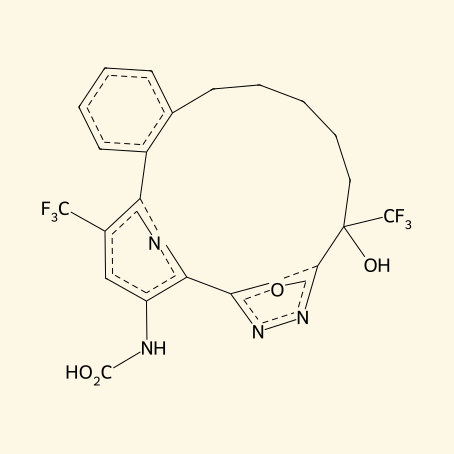 O=C(O)Nc1cc(C(F)(F)F)c2nc1-c1nnc(o1)C(O)(C(F)(F)F)CCCCCc1ccccc1-2